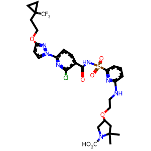 CC1(C)CC(OCCNc2cccc(S(=O)(=O)NC(=O)c3ccc(-n4ccc(OCCC5(C(F)(F)F)CC5)n4)nc3Cl)n2)CN1C(=O)O